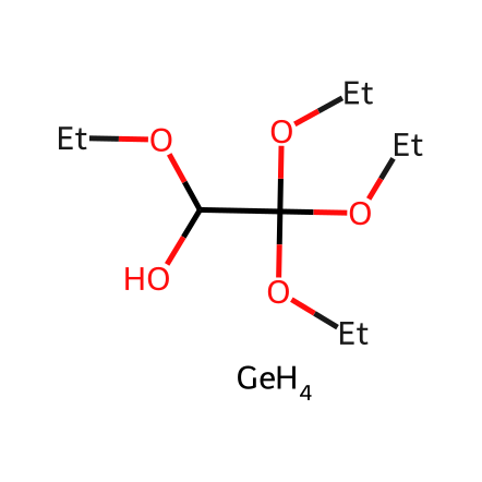 CCOC(O)C(OCC)(OCC)OCC.[GeH4]